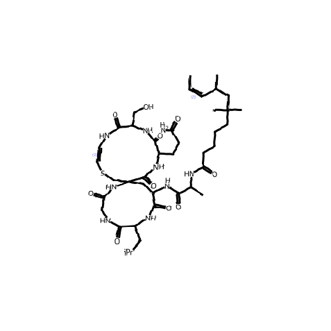 C/C=C\C(C)CC(C)(C)CCCCC(=O)NC(C)C(=O)NC1CC2(CS/C=C\NC(=O)C(CO)NC(=O)C(CCC(N)=O)NC2=O)NC(=O)CNC(=O)C(CC(C)C)NC1=O